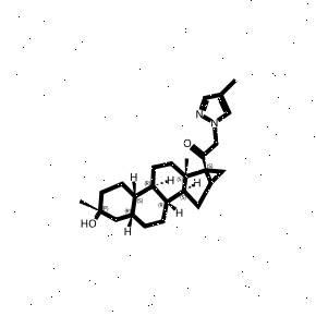 Cc1cnn(CC(=O)[C@@]23CC2C[C@H]2[C@@H]4CC[C@@H]5C[C@](C)(O)CC[C@@H]5[C@H]4CC[C@@]23C)c1